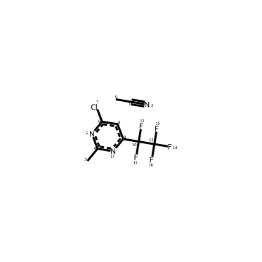 CC#N.Cc1nc(Cl)cc(C(F)(F)C(F)(F)F)n1